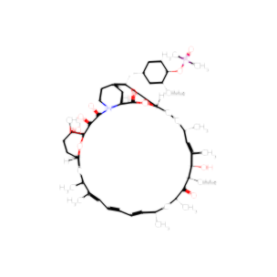 CO[C@@H]1C[C@H](C[C@H]2C3CCN4C(=O)C(=O)[C@]5(O)O[C@@H](CC[C@H]5C)CC(C)/C(C)=C/C=C/C=C/[C@@H](C)C[C@@H](C)C(=O)[C@H](OC)[C@H](O)/C(C)=C/[C@@H](C)CC[C@@H]2OC(=O)[C@@H]4C3)CC[C@H]1OP(C)(C)=O